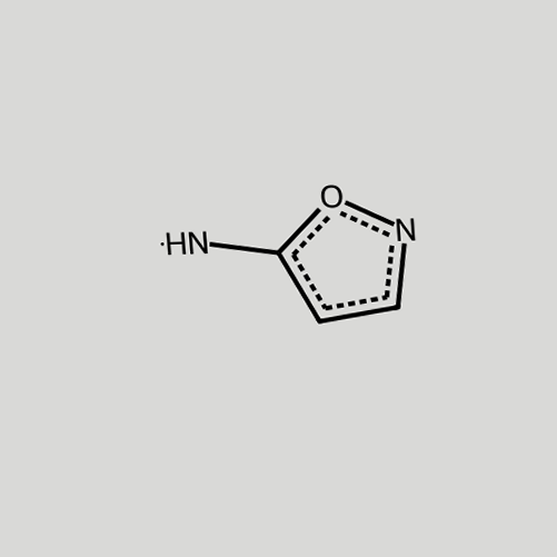 [NH]c1ccno1